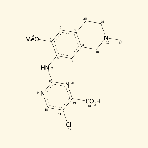 COc1cc2c(cc1Nc1ncc(Cl)c(C(=O)O)n1)CN(C)CC2